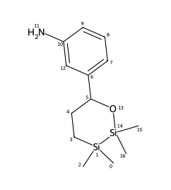 C[Si]1(C)CCC(c2cccc(N)c2)O[Si]1(C)C